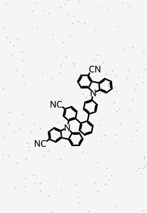 N#Cc1ccc(-c2ccccc2-c2ccc(-n3c4ccccc4c4c(C#N)cccc43)cc2)c(-n2c3ccccc3c3cc(C#N)ccc32)c1